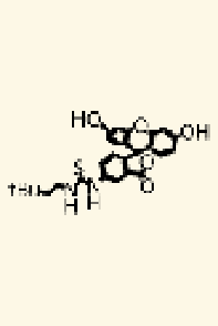 CC(C)(C)CCNC(=S)Nc1ccc2c(c1)C(=O)OC21c2ccc(O)cc2Oc2cc(O)ccc21